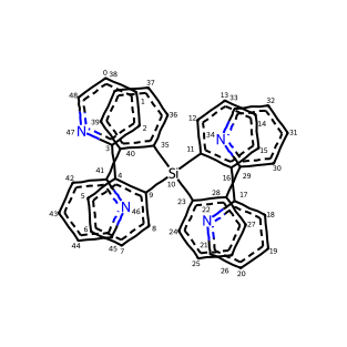 c1ccc(-c2ccccc2[Si](c2ccccc2-c2ccccn2)(c2ccccc2-c2ccccn2)c2ccccc2-c2ccccn2)nc1